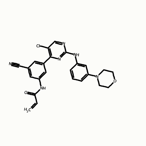 C=CC(=O)Nc1cc(C#N)cc(-c2nc(Nc3cccc(N4CCOCC4)c3)ncc2Cl)c1